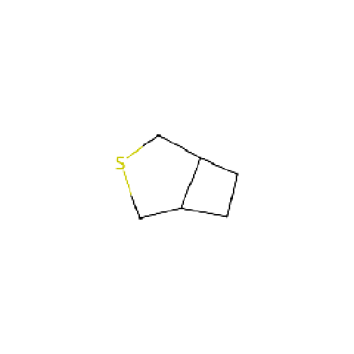 C1CC2CSCC12